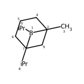 CC(C)B1C2(C)CCCC1(C(C)C)C2